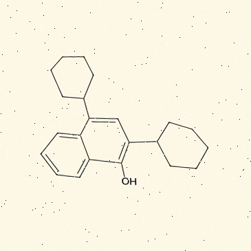 Oc1c(C2CCCCC2)cc(C2CCCCC2)c2ccccc12